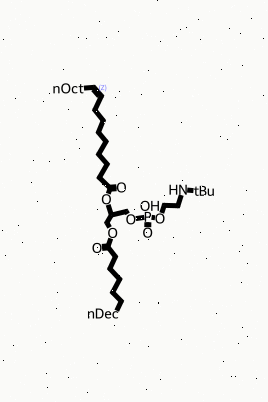 CCCCCCCC/C=C\CCCCCCCC(=O)OC(COC(=O)CCCCCCCCCCCCCCC)COP(=O)(O)OCCNC(C)(C)C